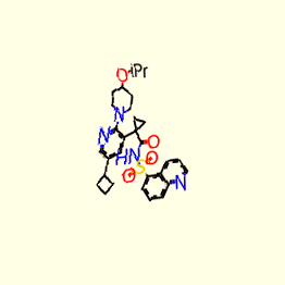 CC(C)OC1CCN(c2ncc(C3CCC3)cc2C2(C(=O)NS(=O)(=O)c3cccc4ncccc34)CC2)CC1